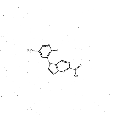 Cc1cnc(F)c(-n2ccc3cc(C(=O)O)ccc32)c1